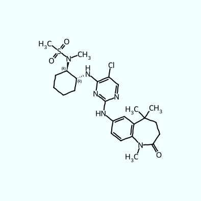 CN1C(=O)CCC(C)(C)c2cc(Nc3ncc(Cl)c(N[C@@H]4CCCC[C@H]4N(C)S(C)(=O)=O)n3)ccc21